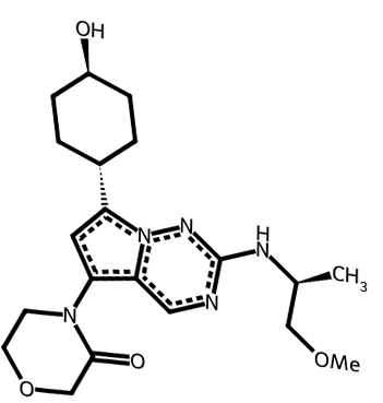 COC[C@H](C)Nc1ncc2c(N3CCOCC3=O)cc([C@H]3CC[C@H](O)CC3)n2n1